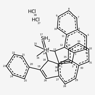 CC1=Cc2ccc3ccccc3c2[CH]1[Hf]([CH3])([CH3])(=[SiH2])[CH]1C(c2ccccc2)=Cc2ccc3ccccc3c21.Cl.Cl